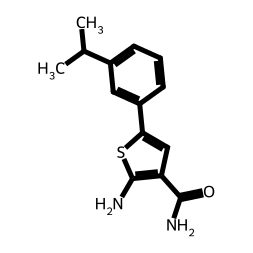 CC(C)c1cccc(-c2cc(C(N)=O)c(N)s2)c1